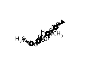 CC[C@@H](Oc1ccc(C(=O)NS(=O)(=O)c2ccc(OC3CCN(CCOC)CC3)cc2)c(F)c1F)c1ccc(OCC2CC2)cn1